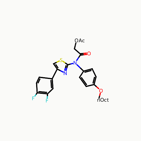 CCCCCCCCOc1ccc(N(C(=O)COC(C)=O)c2nc(-c3ccc(F)c(F)c3)cs2)cc1